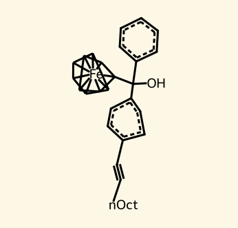 CCCCCCCCC#Cc1ccc(C(O)(c2ccccc2)[C]23[CH]4[CH]5[CH]6[CH]2[Fe]56432789[CH]3[CH]2[CH]7[CH]8[CH]39)cc1